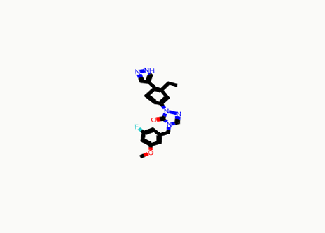 CCc1cc(-n2ncn(Cc3cc(F)cc(OC)c3)c2=O)ccc1-c1cn[nH]c1